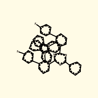 Fc1ccc(-c2cccc(-c3nc(-c4ccccc4)nc(-c4cccc(-c5ccc(F)cc5)c4-n4c5ccccc5c5ccccc54)n3)c2-n2c3ccccc3c3ccccc32)cc1